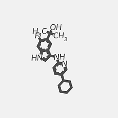 CC(C)(O)c1cc2c(Nc3ccc(C4CCCCC4)cn3)c[nH]c2cc1F